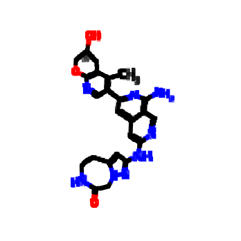 Cc1c(-c2cc3cc(Nc4cc5n(n4)CC(=O)NCC5)ncc3c(N)n2)cnc2c1C[C@H](O)CO2